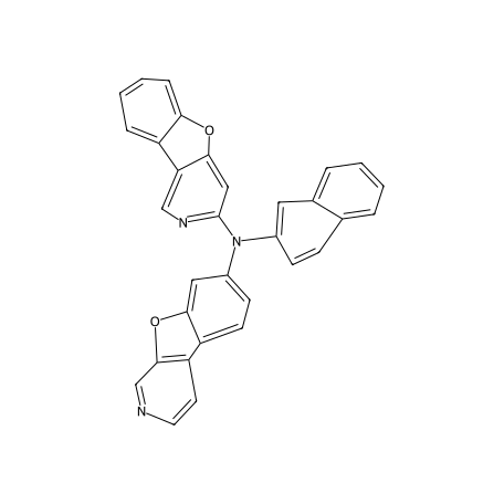 c1ccc2cc(N(c3ccc4c(c3)oc3cnccc34)c3cc4oc5ccccc5c4cn3)ccc2c1